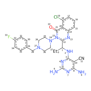 CCC(Nc1nc(N)nc(N)c1C#N)c1nc2cccc(Cl)c2c(=O)n1N1CCN(Cc2ccc(F)cc2)CC1